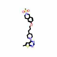 Cc1cc2c(N3CCC(CCCOc4ccc5c(c4)CCN(S(C)(=O)=O)C5)CC3)ncnc2s1